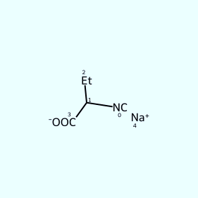 [C-]#[N+]C(CC)C(=O)[O-].[Na+]